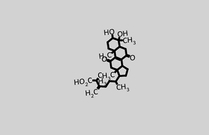 C=C(CCC(C)C1CCC2C3=C(C(=O)CC21C)C1(C)CCC(O)C(C)(O)C1CC3=O)C(C)C(=O)O